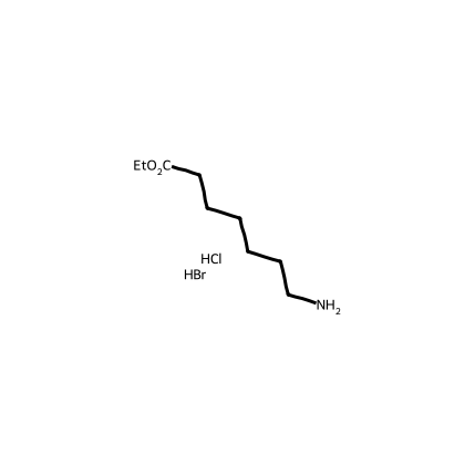 Br.CCOC(=O)CCCCCCN.Cl